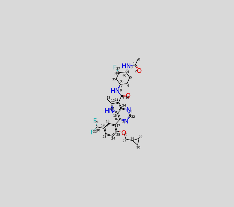 CC(=O)N[C@@H]1CC[C@@H](NC(=O)c2c(C)[nH]c3c(-c4cc(C(F)F)ccc4OCC4CC4)ncnc23)C[C@H]1F